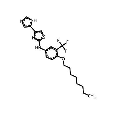 CCCCCCCCOc1ccc(Nc2nc(-c3cnc[nH]3)cs2)cc1C(F)(F)F